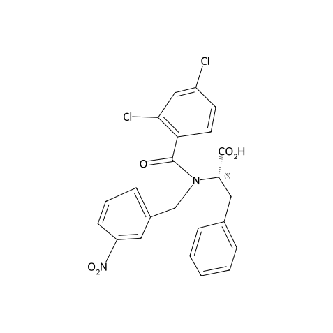 O=C(O)[C@H](Cc1ccccc1)N(Cc1cccc([N+](=O)[O-])c1)C(=O)c1ccc(Cl)cc1Cl